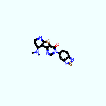 CN(C)c1ccnc2sc3c(=O)n(-c4ccc5nsnc5c4)cnc3c12